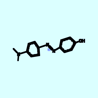 CN(C)c1ccc(/N=N/c2ccc(O)cc2)cc1